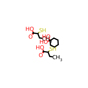 CCC(S)C(=O)O.CCC(S)C(=O)O.OC1(O)CCCCC1